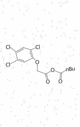 [CH2]CCCC(=O)OC(=O)COc1cc(Cl)c(Cl)cc1Cl